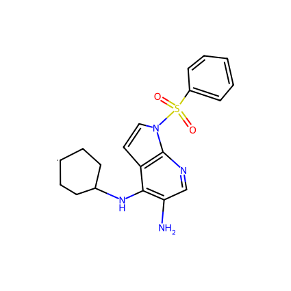 Nc1cnc2c(ccn2S(=O)(=O)c2ccccc2)c1NC1CC[CH]CC1